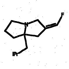 CC(C)CC12CCCN1C/C(=C\F)C2